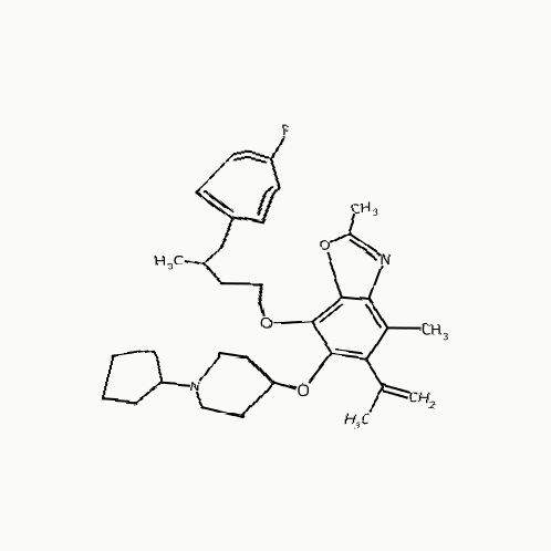 C=C(C)c1c(OC2CCN(C3CCCC3)CC2)c(OCCC(C)c2ccc(F)cc2)c2oc(C)nc2c1C